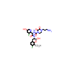 NCCCN1CCN(C(=O)N[C@@H](C(=O)N[C@H]2Cc3ccc(F)c(C(=O)O)c3OB2O)c2ncc(O)cc2F)C(=O)C1=O